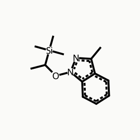 Cc1nn(OC(C)[Si](C)(C)C)c2ccccc12